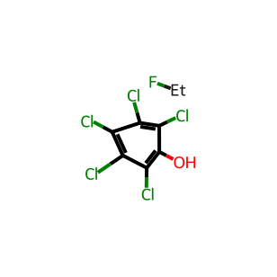 CCF.Oc1c(Cl)c(Cl)c(Cl)c(Cl)c1Cl